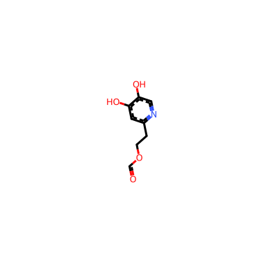 O=COCCc1cc(O)c(O)cn1